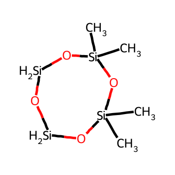 C[Si]1(C)O[SiH2]O[SiH2]O[Si](C)(C)O1